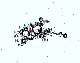 CN[C@H](CC(C)C)C(=O)NC1C(=O)N[C@@H](CC(N)=O)C(=O)N[C@H]2C(=O)N[C@H]3C(=O)N[C@H](C(=O)N[C@@H](C(=O)O)c4cc(O)cc(O)c4-c4cc3ccc4O)[C@H](O[C@H]3C[C@](C)(N)[C@@H](O)[C@H](C)O3)c3ccc(c(Cl)c3)Oc3cc2cc(c3O[C@@H]2O[C@H](CO)[C@@H](O[C@@H]3O[C@H](CNCC/C=C/c4ccc(-c5ccccc5)s4)[C@H](O)[C@H](O)[C@H]3O)[C@H](O)[C@H]2O)Oc2ccc(cc2Cl)[C@H]1O